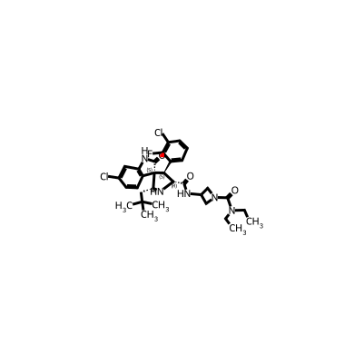 CCN(CC)C(=O)N1CC(NC(=O)[C@@H]2N[C@H](CC(C)(C)C)[C@]3(C(=O)Nc4cc(Cl)ccc43)[C@H]2c2cccc(Cl)c2F)C1